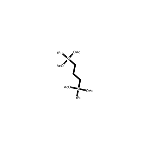 CC(=O)O[Si](CCC[Si](OC(C)=O)(OC(C)=O)C(C)(C)C)(OC(C)=O)C(C)(C)C